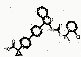 C[C@@H](OC(=O)Nc1oc2ccccc2c1-c1ccc(-c2ccc(C3(C(=O)O)CC3)cc2)cc1)c1ccccc1Cl